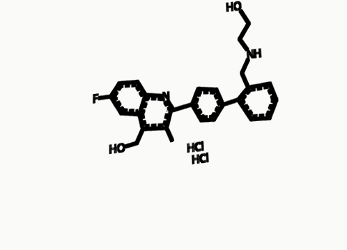 Cc1c(-c2ccc(-c3ccccc3CNCCO)cc2)nc2ccc(F)cc2c1CO.Cl.Cl